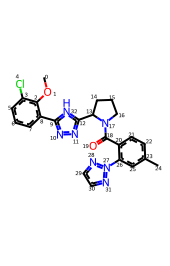 COc1c(Cl)cccc1-c1nnc(C2CCCN2C(=O)c2ccc(C)cc2-n2nccn2)[nH]1